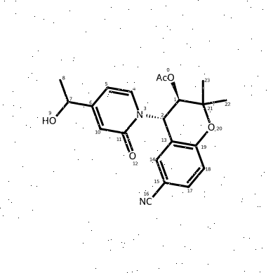 CC(=O)O[C@@H]1[C@@H](n2ccc(C(C)O)cc2=O)c2cc(C#N)ccc2OC1(C)C